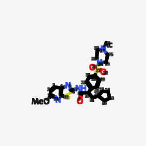 COc1ccc2nc(NC(=O)C(CC3CCCC3)c3ccc(S(=O)(=O)N4CCN(C(C)=O)CC4)cc3)sc2n1